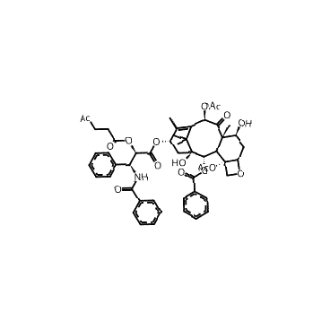 CC(=O)CCC(=O)O[C@@H](C(=O)O[C@H]1C[C@@]2(O)[C@@H](OC(=O)c3ccccc3)C3[C@]4(OC(C)=O)COC4C[C@H](O)[C@@]3(C)C(=O)[C@H](OC(C)=O)C(=C1C)C2(C)C)[C@@H](NC(=O)c1ccccc1)c1ccccc1